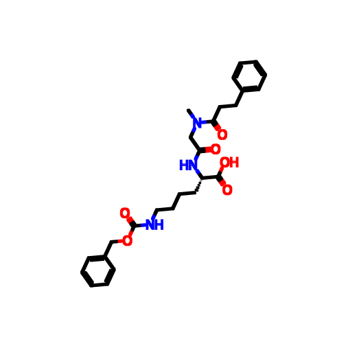 CN(CC(=O)N[C@@H](CCCCNC(=O)OCc1ccccc1)C(=O)O)C(=O)CCc1ccccc1